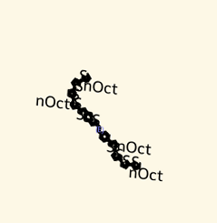 CCCCCCCCc1ccsc1-c1ccc(-c2ccc(-c3sc(-c4ccc(/C=C/c5cc6cc7sc(-c8cc(CCCCCCCC)c(-c9ccc(-c%10ccc(-c%11sccc%11CCCCCCCC)s%10)s9)s8)cc7cc6s5)cc4)cc3CCCCCCCC)s2)s1